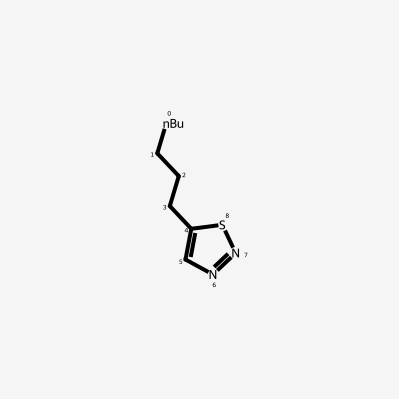 CCCCCCCc1cnns1